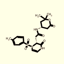 Cc1ccc(S(=O)(=O)N2C=CNC(=O)[C@H]2CC(=O)N[C@H]2CC(=O)OC(C)(C)C2)cc1